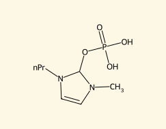 CCCN1C=CN(C)C1OP(=O)(O)O